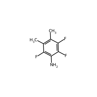 Cc1c(C)c(F)c(F)c(N)c1F